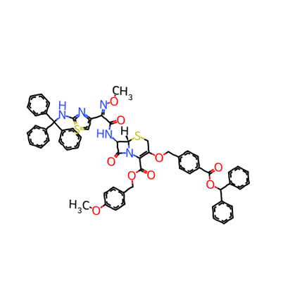 CO/N=C(\C(=O)N[C@@H]1C(=O)N2C(C(=O)OCc3ccc(OC)cc3)=C(OCc3ccc(C(=O)OC(c4ccccc4)c4ccccc4)cc3)CS[C@@H]12)c1csc(NC(c2ccccc2)(c2ccccc2)c2ccccc2)n1